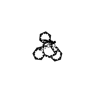 c1cc2oc3cccc4c5cccc6oc7cccc(c(c1)c2[n+]65)[n+]7c34